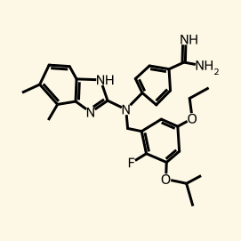 CCOc1cc(CN(c2ccc(C(=N)N)cc2)c2nc3c(C)c(C)ccc3[nH]2)c(F)c(OC(C)C)c1